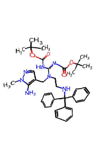 Cn1ncc(CN(CCNC(c2ccccc2)(c2ccccc2)c2ccccc2)/C(=N\C(=O)OC(C)(C)C)NC(=O)OC(C)(C)C)c1N